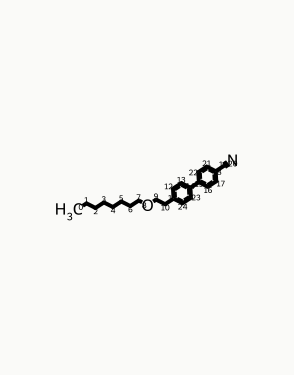 CCCCCCCCOCCc1ccc(-c2ccc(C#N)cc2)cc1